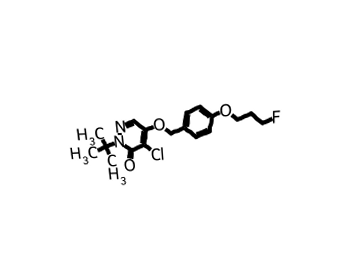 CC(C)(C)n1ncc(OCc2ccc(OCCCF)cc2)c(Cl)c1=O